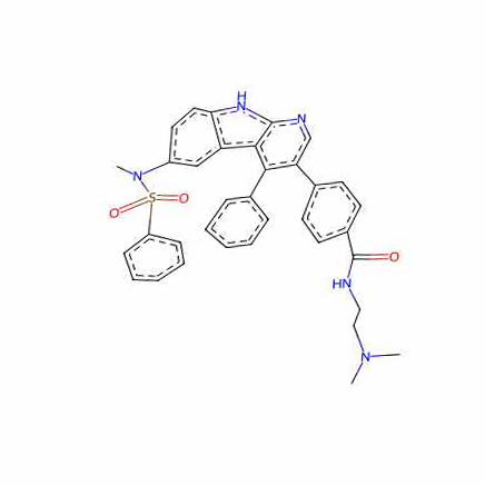 CN(C)CCNC(=O)c1ccc(-c2cnc3[nH]c4ccc(N(C)S(=O)(=O)c5ccccc5)cc4c3c2-c2ccccc2)cc1